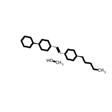 CCCCC[C@H]1CC[C@H](C=C[C@H]2CC[C@H](C3CCCCC3)CC2)CC1.CO